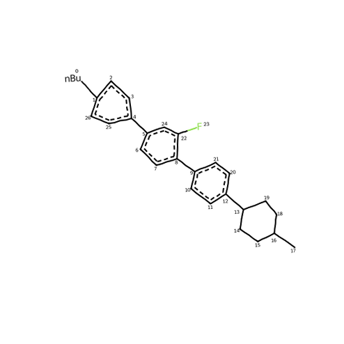 CCCCc1ccc(-c2ccc(-c3ccc(C4CCC(C)CC4)cc3)c(F)c2)cc1